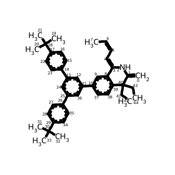 C=C1N/C(=C\C=C/C)c2cc(-c3cc(-c4ccc(C(C)(C)C)cc4)cc(-c4ccc(C(C)(C)C)cc4)c3)ccc2C1(CC)CC